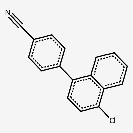 N#Cc1ccc(-c2ccc(Cl)c3ccccc23)cc1